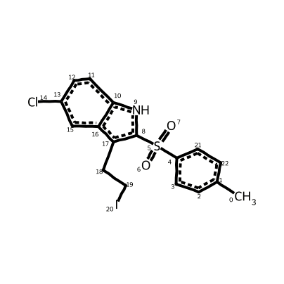 Cc1ccc(S(=O)(=O)c2[nH]c3ccc(Cl)cc3c2CCI)cc1